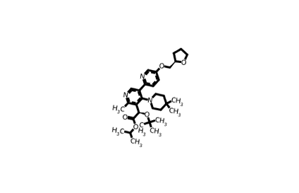 Cc1ncc(-c2ccc(OC[C@H]3CCCO3)cn2)c(N2CCC(C)(C)CC2)c1[C@@H](OC(C)(C)C)C(=O)OC(C)C